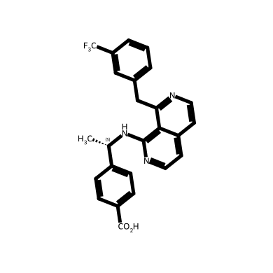 C[C@H](Nc1nccc2ccnc(Cc3cccc(C(F)(F)F)c3)c12)c1ccc(C(=O)O)cc1